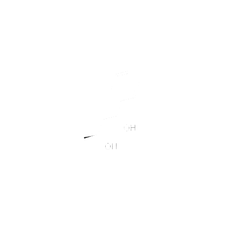 C[C@H](O)C[C@@H](O)c1ccccc1